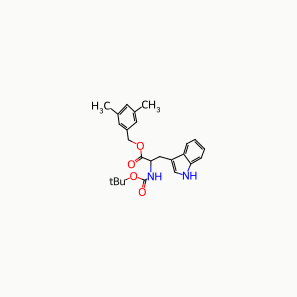 Cc1cc(C)cc(COC(=O)C(Cc2c[nH]c3ccccc23)NC(=O)OC(C)(C)C)c1